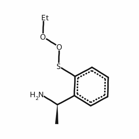 CCOOSc1ccccc1[C@@H](C)N